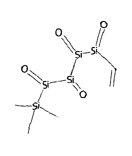 C=C[Si](=O)[Si](=O)[Si](=O)[Si](=O)[Si](C)(C)C